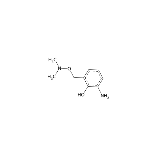 CN(C)OCc1cccc(N)c1O